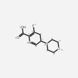 O=C(O)C1=C(F)CC(N2CCOCC2)C=N1